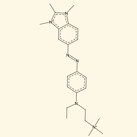 CCN(CC[N+](C)(C)C)c1ccc(/N=N/c2ccc3c(c2)[n+](C)c(C)n3C)cc1